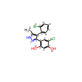 Cc1[nH]nc(-c2cc(Cl)c(O)cc2O)c1-c1ccccc1Br